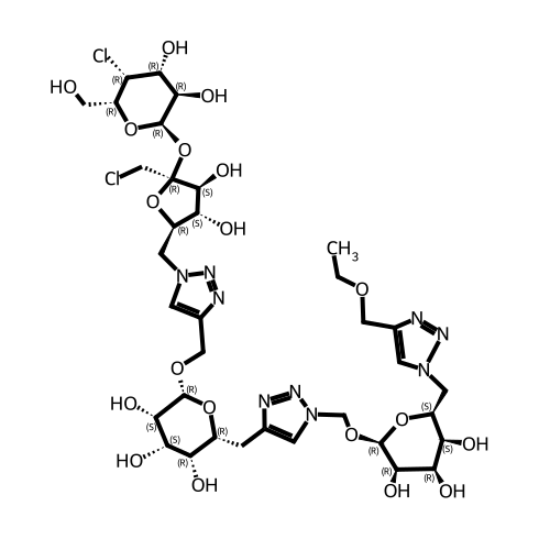 CCOCc1cn(C[C@@H]2O[C@H](OCn3cc(C[C@H]4O[C@@H](OCc5cn(C[C@H]6O[C@@](CCl)(O[C@H]7O[C@H](CO)[C@H](Cl)[C@H](O)[C@H]7O)[C@@H](O)[C@@H]6O)nn5)[C@@H](O)[C@@H](O)[C@H]4O)nn3)[C@H](O)[C@H](O)[C@@H]2O)nn1